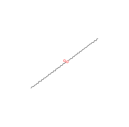 CCCCCCCCCCCCCCCCCCCCCCCCCCCCCC(=O)OCCCCCCCCCCCCCCCCCCCCCCCCCC